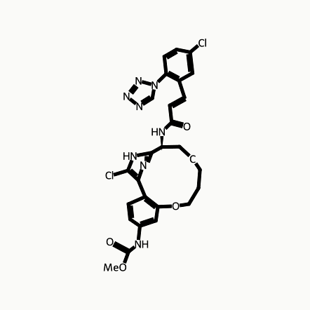 COC(=O)Nc1ccc2c(c1)OCCCCC[C@H](NC(=O)/C=C/c1cc(Cl)ccc1-n1cnnn1)c1nc-2c(Cl)[nH]1